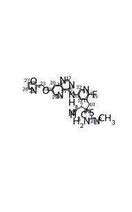 C/N=C(/N)S[C@@](C)(CC#N)Cc1cc(Nc2ncnc3cc(OCc4ncco4)cnc23)cnc1F